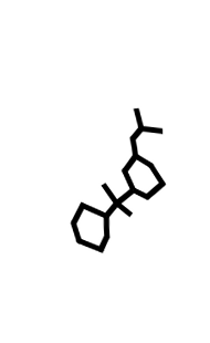 CC(C)CC1CCCC(C(C)(C)C2CCCCC2)C1